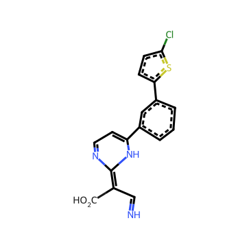 N=C/C(C(=O)O)=C1/N=CC=C(c2cccc(-c3ccc(Cl)s3)c2)N1